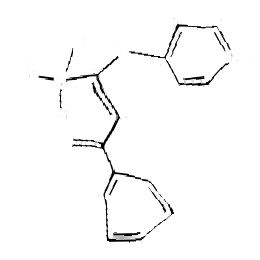 C[Si](C)(C)/C(=C\C(=O)c1ccccc1)Sc1ccncc1